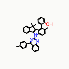 Cc1ccc(-c2nc(-n3c4c(c5c(-c6ccccc6O)c(C)ccc53)C(C)(C)c3ccccc3-4)nc3ccccc23)cc1